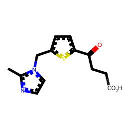 Cc1nccn1Cc1ccc(C(=O)CCC(=O)O)s1